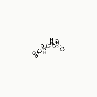 O=C(Nc1ccc(NC(=O)[C@@H]2CCCN2C(=O)Cc2ccccc2)cc1)c1ccc([N+](=O)[O-])cc1